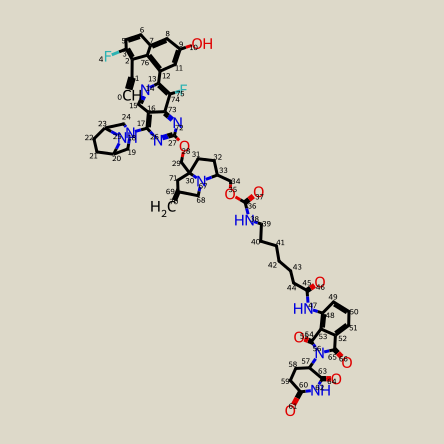 C#Cc1c(F)ccc2cc(O)cc(-c3ncc4c(N5CC6CCC(C5)N6)nc(OCC56CCC(COC(=O)NCCCCCCC(=O)Nc7cccc8c7C(=O)N(C7CCC(=O)NC7=O)C8=O)N5CC(=C)C6)nc4c3F)c12